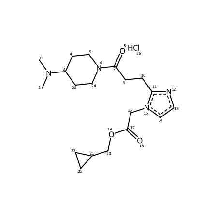 CN(C)C1CCN(C(=O)CCc2nccn2CC(=O)OCC2CC2)CC1.Cl